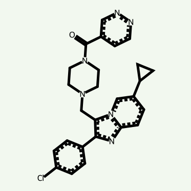 O=C(c1ccnnc1)N1CCN(Cc2c(-c3ccc(Cl)cc3)nc3ccc(C4CC4)cn23)CC1